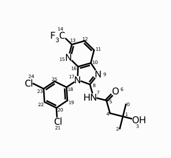 CC(C)(O)CC(=O)Nc1nc2ccc(C(F)(F)F)nc2n1-c1cc(Cl)cc(Cl)c1